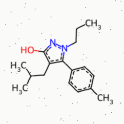 CCCn1nc(O)c(CC(C)C)c1-c1ccc(C)cc1